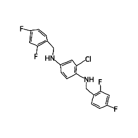 Fc1ccc(CNc2ccc(NCc3ccc(F)cc3F)c(Cl)c2)c(F)c1